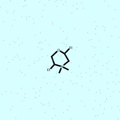 CCC1C[N+](C)(C)C(CC)CO1